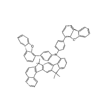 CC1(C)c2cc3c(cc2-c2c(N(c4ccc(-c5cccc6c5oc5ccccc56)cc4)c4ccc(-c5cccc6c5oc5ccccc56)cc4)cccc21)C(C)(C)c1ccc2ccccc2c1-3